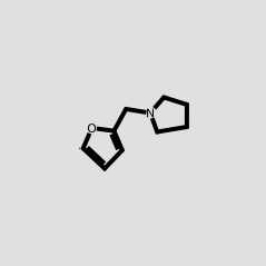 [c]1ccc(CN2CCCC2)o1